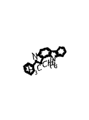 CC1(C)C(c2ccccc2)=Nc2ccc3c([nH]c4ccccc43)c21